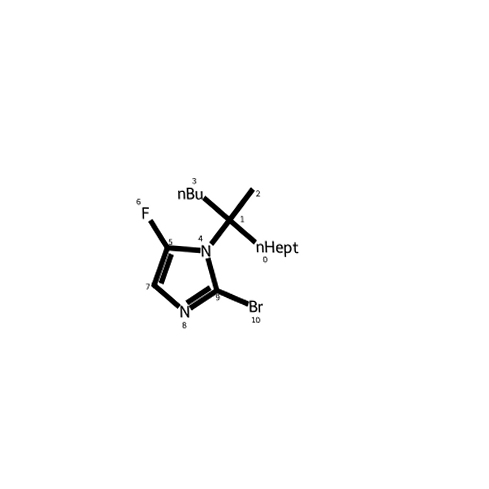 CCCCCCCC(C)(CCCC)n1c(F)cnc1Br